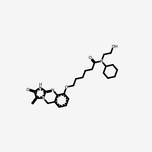 C=c1c(=O)[nH]c2n1Cc1cccc(OCCCCCC(=O)N(CCO)C3CCCCC3)c1N=2